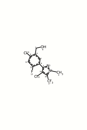 Cn1nc(-c2cc(CO)c(Cl)cc2F)c(Cl)c1C(F)(F)F